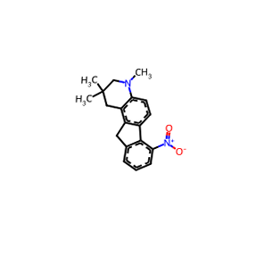 CN1CC(C)(C)Cc2c1ccc1c2Cc2cccc([N+](=O)[O-])c2-1